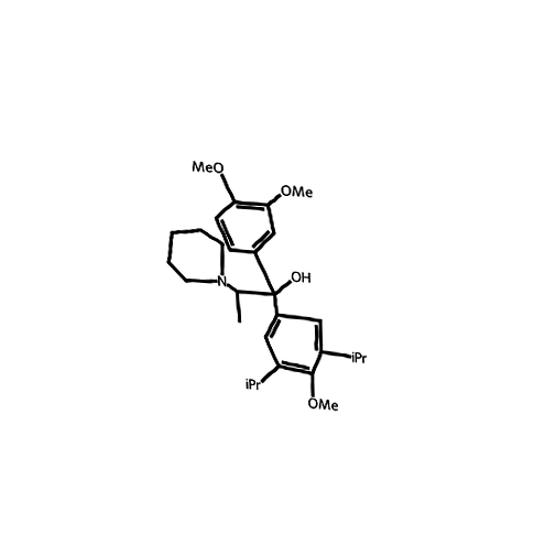 COc1ccc(C(O)(c2cc(C(C)C)c(OC)c(C(C)C)c2)C(C)N2CCCCC2)cc1OC